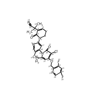 Cc1cnc(N2CCC=C(C(C)(C)C#N)C2=O)cc1-n1c(C)cc(OCc2ncc(F)cc2F)c(Cl)c1=O